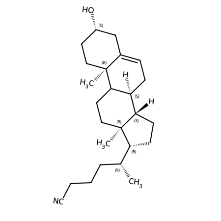 C[C@H](CCCC#N)[C@H]1CC[C@H]2[C@@H]3CC=C4C[C@@H](O)CC[C@]4(C)C3CC[C@]12C